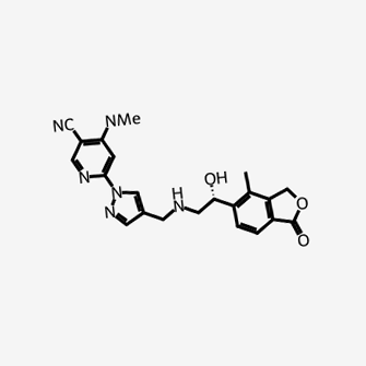 CNc1cc(-n2cc(CNC[C@H](O)c3ccc4c(c3C)COC4=O)cn2)ncc1C#N